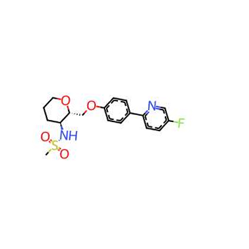 CS(=O)(=O)N[C@H]1CCCO[C@@H]1COc1ccc(-c2ccc(F)cn2)cc1